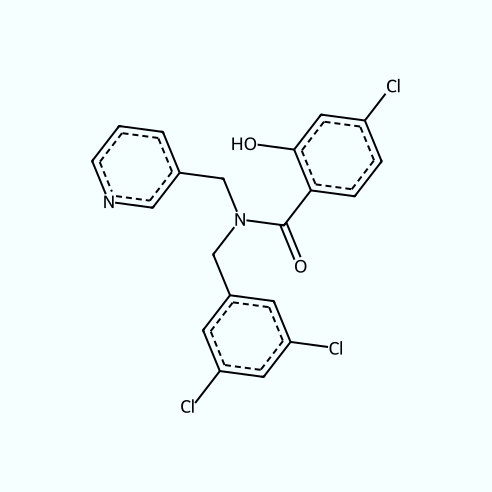 O=C(c1ccc(Cl)cc1O)N(Cc1cccnc1)Cc1cc(Cl)cc(Cl)c1